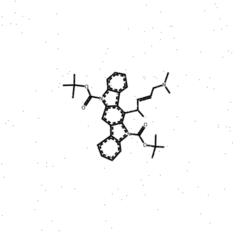 CC(/C=C/CN(C)C)c1c2c3ccccc3n(C(=O)OC(C)(C)C)c2cc2c3ccccc3n(C(=O)OC(C)(C)C)c12